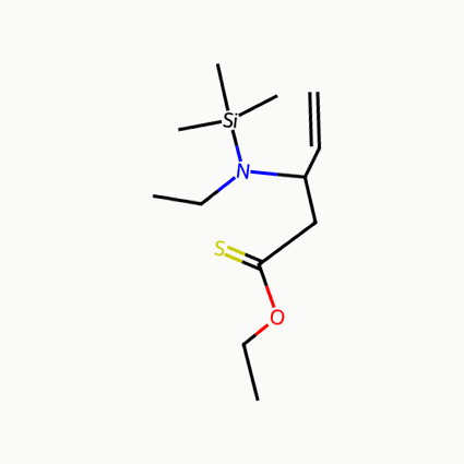 C=CC(CC(=S)OCC)N(CC)[Si](C)(C)C